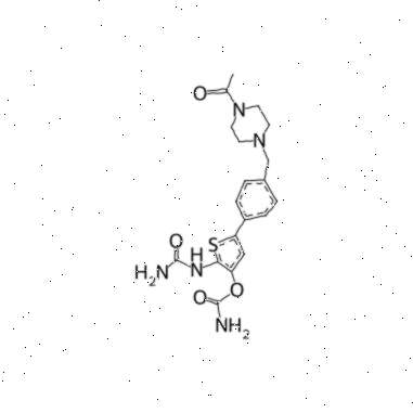 CC(=O)N1CCN(Cc2ccc(-c3cc(OC(N)=O)c(NC(N)=O)s3)cc2)CC1